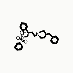 CN(C[C@H](CCN1CCC(Cc2ccccc2)CC1)c1ccccc1)S(=O)(=O)c1ccccc1